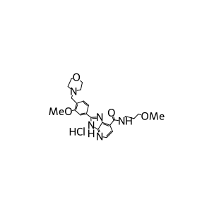 COCCCNC(=O)c1ccnc2[nH]c(-c3ccc(CN4CCOCC4)c(OC)c3)nc12.Cl